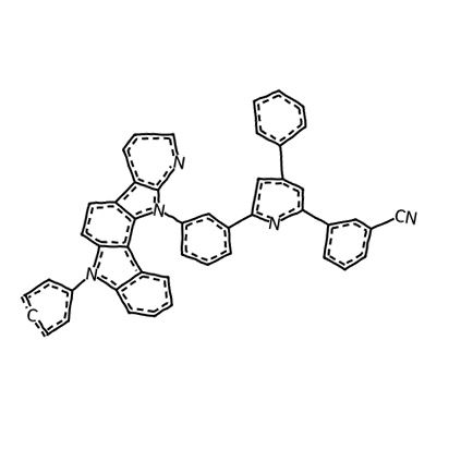 N#Cc1cccc(-c2cc(-c3ccccc3)cc(-c3cccc(-n4c5ncccc5c5ccc6c(c7ccccc7n6-c6ccccc6)c54)c3)n2)c1